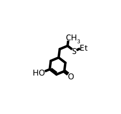 CCSC(C)CC1CC(=O)C=C(O)C1